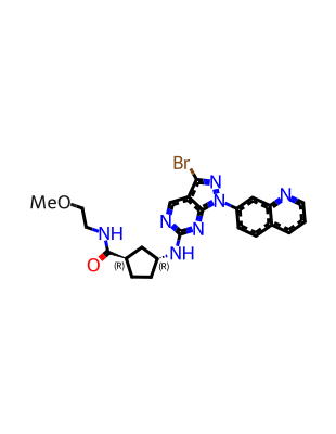 COCCNC(=O)[C@@H]1CC[C@@H](Nc2ncc3c(Br)nn(-c4ccc5cccnc5c4)c3n2)C1